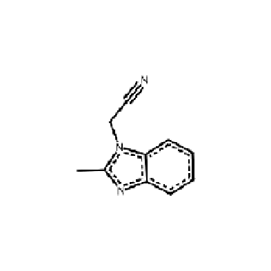 Cc1nc2ccccc2n1CC#N